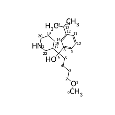 COCCCCC(O)(c1cccc(C(C)C)c1)C1CCCNC1